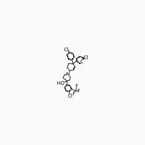 OC1(c2ccc(Cl)c(C(F)(F)F)c2)CCN(C2C=CC(c3ccc(Cl)cc3)(c3ccc(Cl)cc3)CC2)CC1